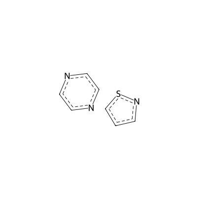 c1cnccn1.c1cnsc1